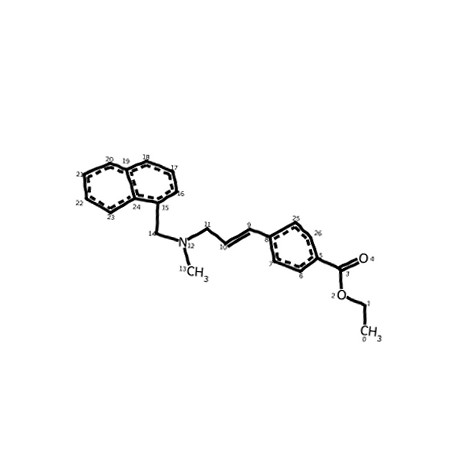 CCOC(=O)c1ccc(/C=C/CN(C)Cc2cccc3ccccc23)cc1